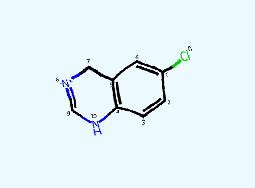 Clc1ccc2c(c1)C[N+]=CN2